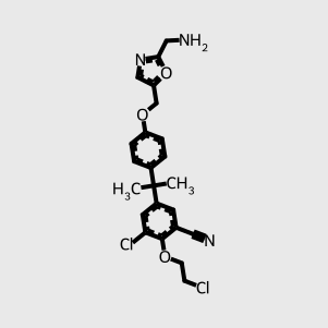 CC(C)(c1ccc(OCc2cnc(CN)o2)cc1)c1cc(Cl)c(OCCCl)c(C#N)c1